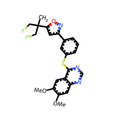 COc1cc2ncnc(Sc3cccc(-c4cc(C(C)(CF)CF)on4)c3)c2cc1OC